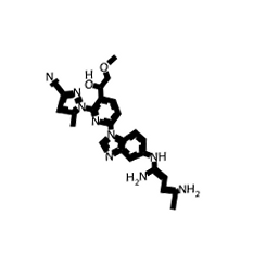 COCC(O)c1ccc(-n2cnc3cc(N/C(N)=C/C=C(/C)N)ccc32)nc1-n1nc(C#N)cc1C